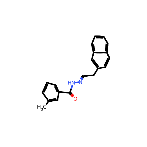 Cc1cccc(C(=O)N/N=C/Cc2ccc3ccccc3c2)c1